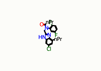 CCCC(=O)N(Cc1nc2c(CCC)cc(Cl)cc2[nH]1)c1cc(F)ccc1F